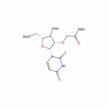 CNC(=O)CO[C@H]1C(OC)[C@@H](COC)O[C@H]1n1ccc(=O)[nH]c1=S